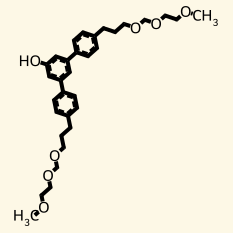 COCCOCOCCCc1ccc(-c2cc(O)cc(-c3ccc(CCCOCOCCOC)cc3)c2)cc1